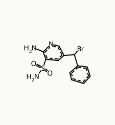 Nc1ncc(C(Br)c2ccccc2)cc1S(N)(=O)=O